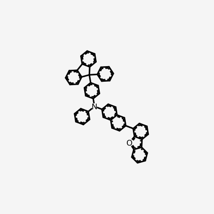 c1ccc(N(c2ccc(C3(c4ccccc4)c4ccccc4-c4ccccc43)cc2)c2ccc3cc(-c4cccc5c4oc4ccccc45)ccc3c2)cc1